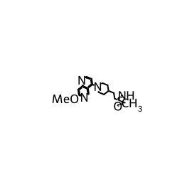 COc1cc2nccc(N3CCC(CCS(C)(=N)=O)CC3)c2cn1